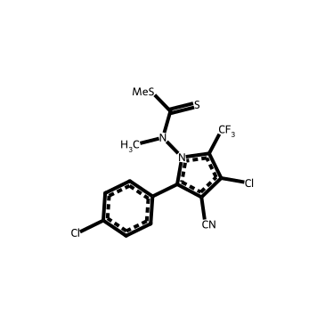 CSC(=S)N(C)n1c(-c2ccc(Cl)cc2)c(C#N)c(Cl)c1C(F)(F)F